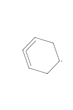 C1=CC[CH]CC=1